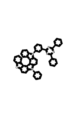 c1ccc(-c2nc(-c3ccccc3)nc(-c3cccc(-n4c5ccccc5c5c6c7c8c(ccc7n(-c7ccccc7)c6ccc54)oc4ccccc48)c3)n2)cc1